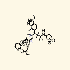 C=C(C)/C(=C\C(=C/C)[C@@H](c1ccc2c(nnn2CC)c1C)C(C)(C)C(=O)NC1CCS(=O)(=O)C1)CN1C[C@@H](CC)Oc2ncccc2S1(=O)=O